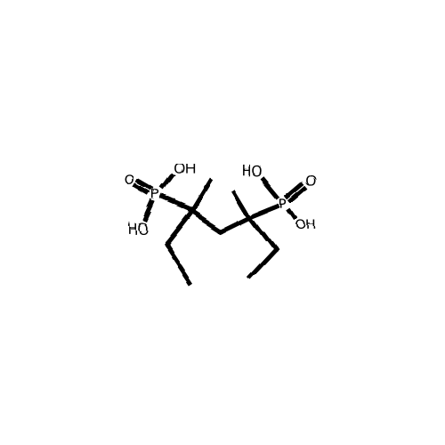 CCC(C)(CC(C)(CC)P(=O)(O)O)P(=O)(O)O